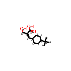 CC(C)(C)C1CCC(C=C(CO)C(=O)O)CC1